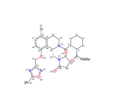 CNC(=O)C1CCCCC1C(=O)N1CCc2c(Br)ccc(OCc3noc(C(C)C)n3)c2[C@H]1CN1CCCC1=O